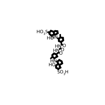 Cc1ccc(C(=O)NC(=O)NC(=O)c2ccc(C)c(Nc3cccc4cc(S(=O)(=O)O)cc(O)c34)c2)cc1Nc1cccc2cc(S(=O)(=O)O)cc(O)c12